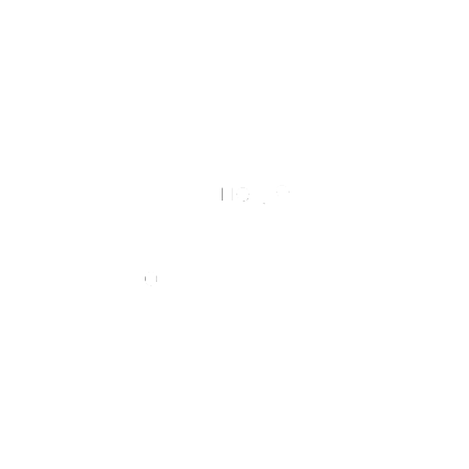 O=C(O)C(CCCc1ccccc1)CCc1ccc(Oc2ccccc2)cc1